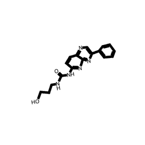 O=C(NCCCO)Nc1ccc2ncc(-c3ccccc3)nc2n1